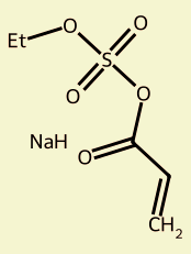 C=CC(=O)OS(=O)(=O)OCC.[NaH]